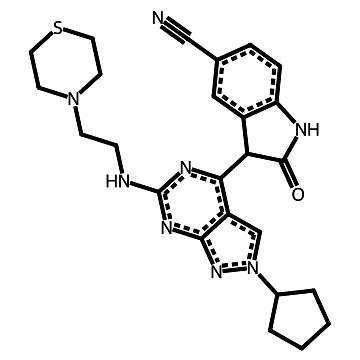 N#Cc1ccc2c(c1)C(c1nc(NCCN3CCSCC3)nc3nn(C4CCCC4)cc13)C(=O)N2